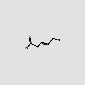 O=C(O)CC=CCS